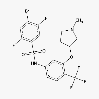 CN1CCC(Oc2cc(NS(=O)(=O)c3cc(F)c(Br)cc3F)ccc2C(F)(F)F)C1